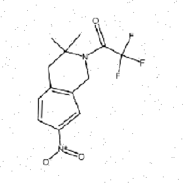 CC1(C)Cc2ccc([N+](=O)[O-])cc2CN1C(=O)C(F)(F)F